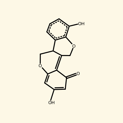 O=C1C=C(O)C=C2OCC3C(=C12)COc1c(O)cccc13